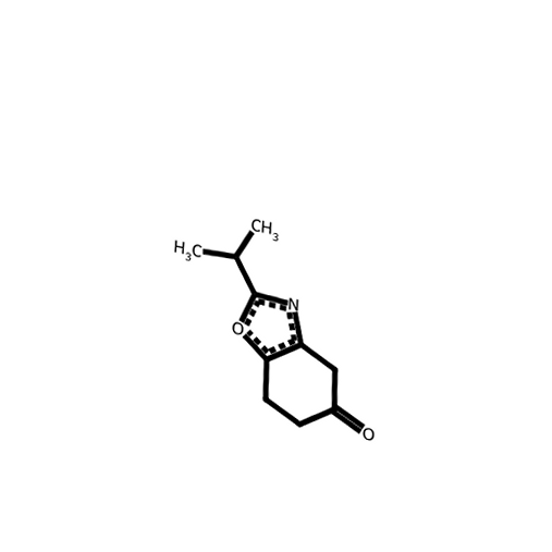 CC(C)c1nc2c(o1)CCC(=O)C2